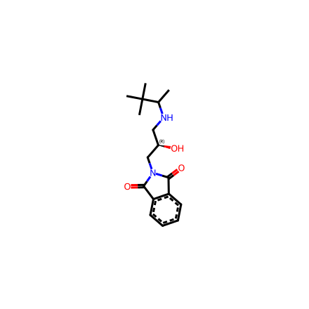 CC(NC[C@@H](O)CN1C(=O)c2ccccc2C1=O)C(C)(C)C